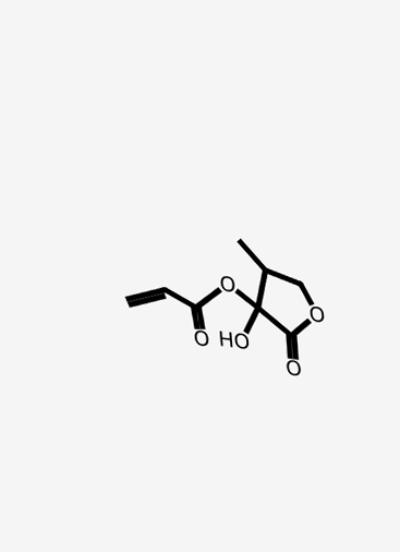 C=CC(=O)OC1(O)C(=O)OCC1C